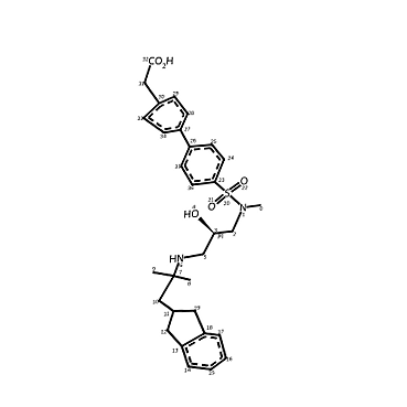 CN(C[C@H](O)CNC(C)(C)CC1Cc2ccccc2C1)S(=O)(=O)c1ccc(-c2ccc(CC(=O)O)cc2)cc1